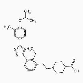 CCc1c(CCN2CCC(C(=O)O)CC2)cccc1-c1nsc(-c2ccc(OC(C)C)c(C)c2)n1